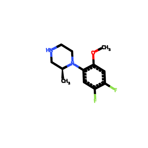 COc1cc(F)c(F)cc1N1CCNC[C@@H]1C